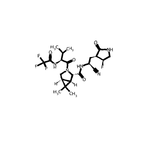 CC(C)[C@H](NC(=O)C(F)(F)F)C(=O)N1C[C@H]2[C@@H]([C@H]1C(=O)N[C@H](C#N)C[C@H]1C(=O)NC[C@H]1F)C2(C)C